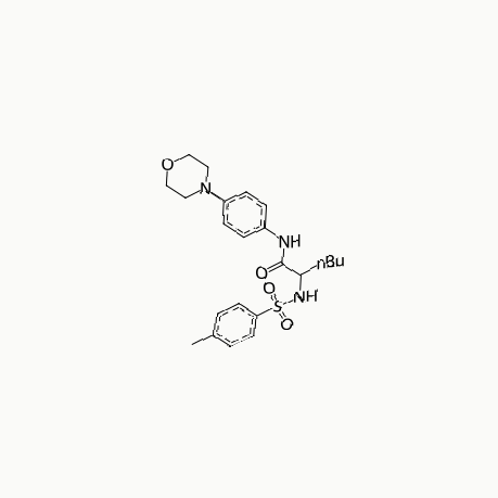 CCCCC(NS(=O)(=O)c1ccc(C)cc1)C(=O)Nc1ccc(N2CCOCC2)cc1